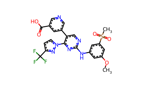 COc1cc(Nc2ncc(-c3cncc(C(=O)O)c3)c(-n3ccc(C(F)(F)F)n3)n2)cc(S(C)(=O)=O)c1